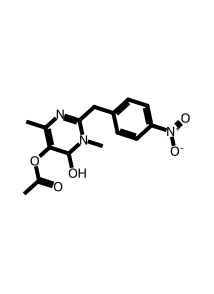 CC(=O)OC1=C(C)N=C(Cc2ccc([N+](=O)[O-])cc2)N(C)C1O